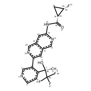 C[C@@](O)(c1ccncc1-c1cc2cnc(NC(=O)[C@@H]3C[C@@H]3F)cc2cn1)C(F)(F)F